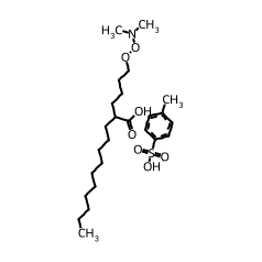 CCCCCCCCCCC(CCCCOON(C)C)C(=O)O.Cc1ccc(S(=O)(=O)O)cc1